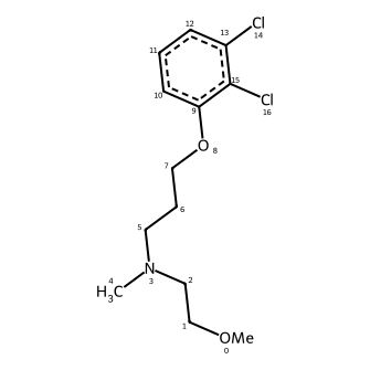 COCCN(C)CCCOc1cccc(Cl)c1Cl